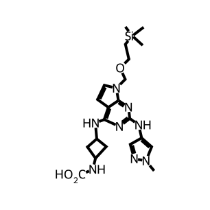 Cn1cc(Nc2nc(NC3CC(NC(=O)O)C3)c3ccn(COCC[Si](C)(C)C)c3n2)cn1